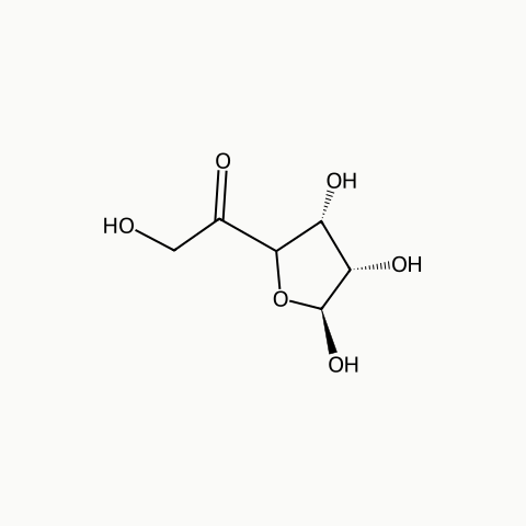 O=C(CO)C1O[C@H](O)[C@@H](O)[C@H]1O